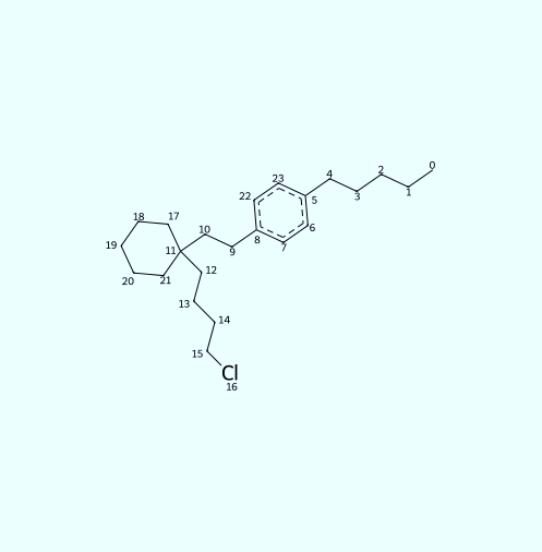 CCCCCc1ccc(CCC2(CCCCCl)CCCCC2)cc1